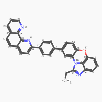 CCc1nc2cccc3c2n1-c1cc(-c2ccc(-c4ccc5ccc6cccnc6c5n4)cc2)ccc1O3